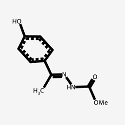 COC(=O)NN=C(C)c1ccc(O)cc1